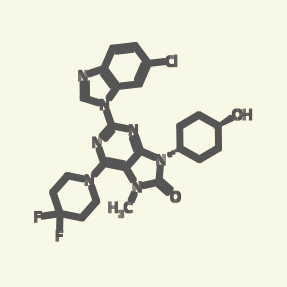 Cn1c(=O)n([C@H]2CC[C@H](O)CC2)c2nc(-n3cnc4ccc(Cl)cc43)nc(N3CCC(F)(F)CC3)c21